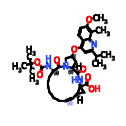 COc1ccc2c(O[C@@H]3C[C@H]4C(=O)N[C@]5(C(=O)O)C[C@H]5/C=C\CCCCC[C@H](NC(=O)OC(C)(C)C)C(=O)N4C3)cc(C(C)C)nc2c1C